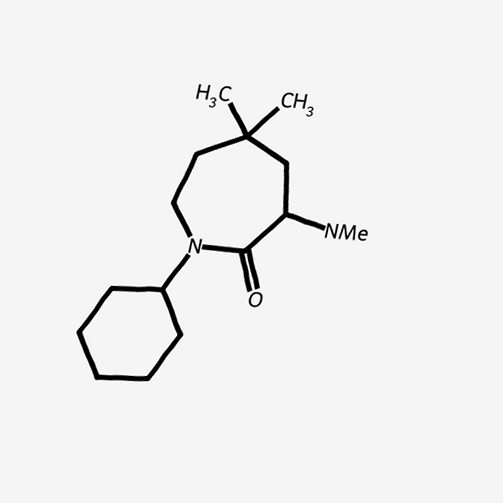 CNC1CC(C)(C)CCN(C2CCCCC2)C1=O